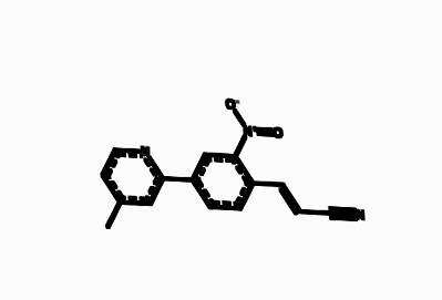 Cc1ccnc(-c2ccc(C=CC#N)c([N+](=O)[O-])c2)c1